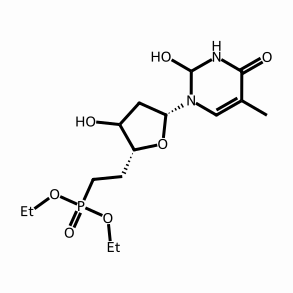 CCOP(=O)(CC[C@H]1O[C@@H](N2C=C(C)C(=O)NC2O)CC1O)OCC